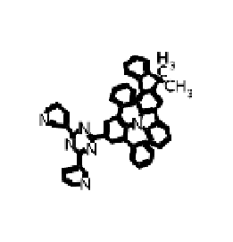 CC1(C)c2ccccc2-c2cc3c(cc21)c1ccccc1n3-c1c(-c2ccccc2)cc(-c2nc(-c3cccnc3)nc(-c3cccnc3)n2)cc1-c1ccccc1